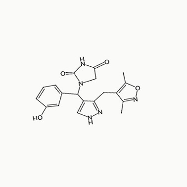 Cc1noc(C)c1Cc1n[nH]cc1C(c1cccc(O)c1)N1CC(=O)NC1=O